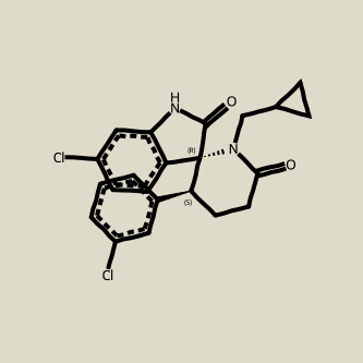 O=C1CC[C@@H](c2cccc(Cl)c2)[C@@]2(C(=O)Nc3cc(Cl)ccc32)N1CC1CC1